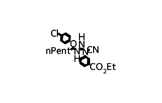 CCCCCC(NC(=N)N(C#N)c1cccc(C(=O)OCC)c1)Oc1ccc(Cl)cc1